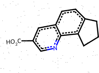 O=C(O)c1cnc2c3c(ccc2c1)CCC3